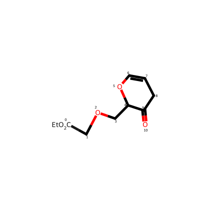 CCOC(=O)COCC1OC=CCC1=O